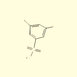 CCC(C)S(=O)(=O)c1cc(Cl)cc(Cl)c1